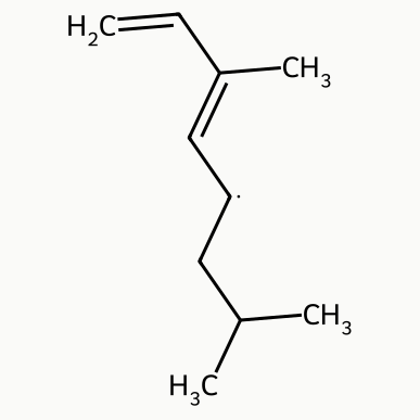 C=CC(C)=C[CH]CC(C)C